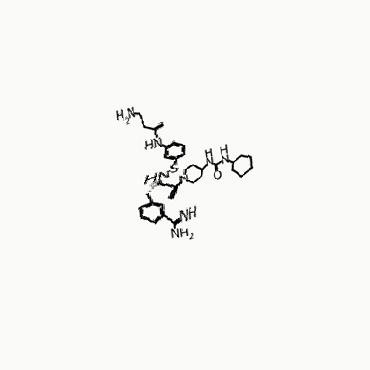 C=C(CCN)Nc1cccc(SN[C@@H](Cc2cccc(C(=N)N)c2)C(=C)N2CCC(NC(=O)NC3CCCCC3)CC2)c1